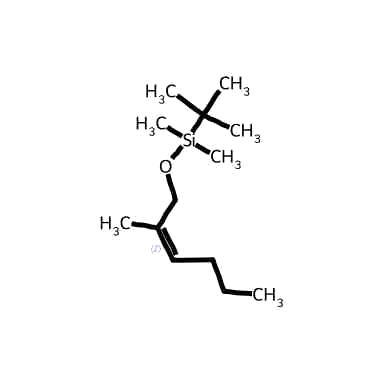 CCC/C=C(/C)CO[Si](C)(C)C(C)(C)C